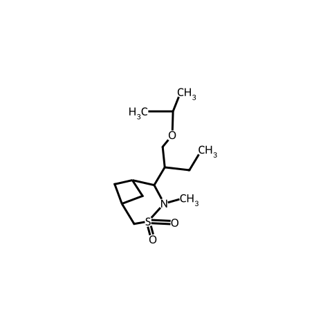 CCC(COC(C)C)C1C2CC(C2)CS(=O)(=O)N1C